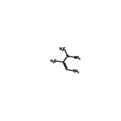 C/C=C(/C)N(C)N